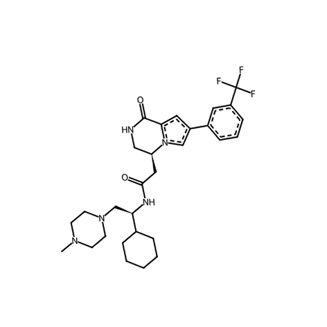 CN1CCN(C[C@@H](NC(=O)C[C@H]2CNC(=O)c3cc(-c4cccc(C(F)(F)F)c4)cn32)C2CCCCC2)CC1